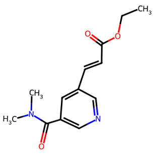 CCOC(=O)/C=C/c1cncc(C(=O)N(C)C)c1